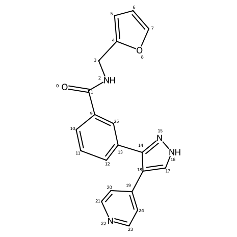 O=C(NCc1ccco1)c1cccc(-c2n[nH]cc2-c2ccncc2)c1